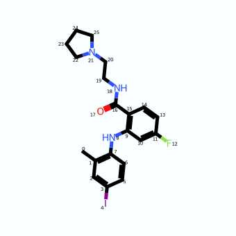 Cc1cc(I)ccc1Nc1cc(F)ccc1C(=O)NCCN1CCCC1